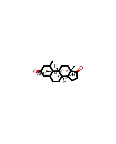 COC[C@@]12C(=CC(=O)CC1C)CC[C@@H]1[C@H]2CC[C@]2(C)C(=O)CC[C@@H]12